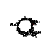 CO[C@H]1C[C@@H]2CC[C@@H](C)C(C)(O2)C(=O)C(=O)N2CCCC[C@H]2C(=O)O[C@H]([C@H](C)CC2CC[C@@H](C)[C@H](CO)C2)CC(=O)[C@H](C)/C=C(\C)[C@@H](O[Si](C)(C)C(C)(C)C)[C@@H](CO)C(=O)[C@H](C)C[C@H](C)/C=C/C=C/C=C/1C